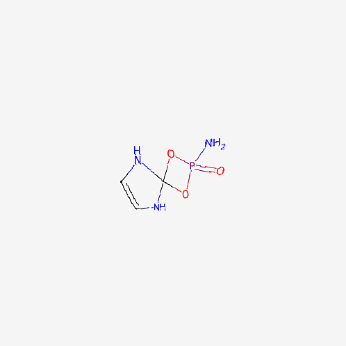 NP1(=O)OC2(NC=CN2)O1